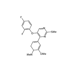 CNC1CC=C(c2nc(SC)ncc2Oc2ccc(F)cc2F)C=C1OC